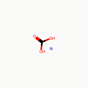 O=C(O)O.[N]